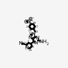 N#Cc1cc(-c2nc(N)nc3c2ncn3Cc2ccc([N+](=O)[O-])cc2)ccn1